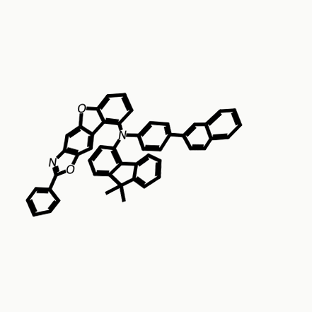 CC1(C)c2ccccc2-c2c(N(c3ccc(-c4ccc5ccccc5c4)cc3)c3cccc4oc5cc6nc(-c7ccccc7)oc6cc5c34)cccc21